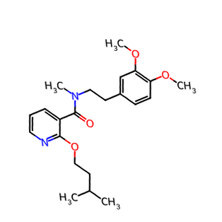 COc1ccc(CCN(C)C(=O)c2cccnc2OCCC(C)C)cc1OC